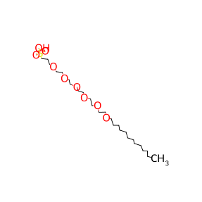 CCCCCCCCCCCCCOCCOCCOCCOCCOCCOCCCS(=O)(=O)O